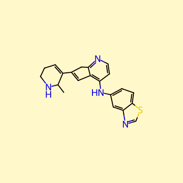 CC1NCCC=C1C1=Cc2c(Nc3ccc4scnc4c3)ccnc2C1